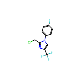 Fc1ccc(-n2cc(C(F)(F)F)nc2CCl)cc1